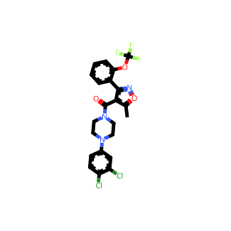 Cc1onc(-c2ccccc2OC(F)(F)F)c1C(=O)N1CCN(c2ccc(Cl)c(Cl)c2)CC1